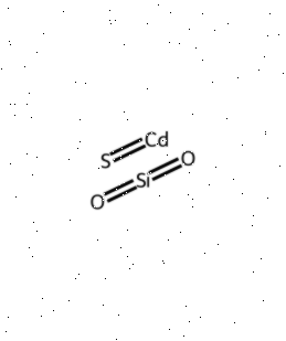 O=[Si]=O.[S]=[Cd]